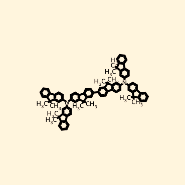 CC1(C)c2ccccc2-c2ccc(N(c3ccc4c(c3)C(C)(C)c3ccccc3-4)c3ccc4c(c3)C(C)(C)c3cc(-c5ccc6c(c5)C(C)(C)c5cc(N(c7ccc8c(c7)C(C)(C)c7ccccc7-8)c7ccc8c(c7)C(C)(C)c7ccccc7-8)ccc5-6)ccc3-4)cc21